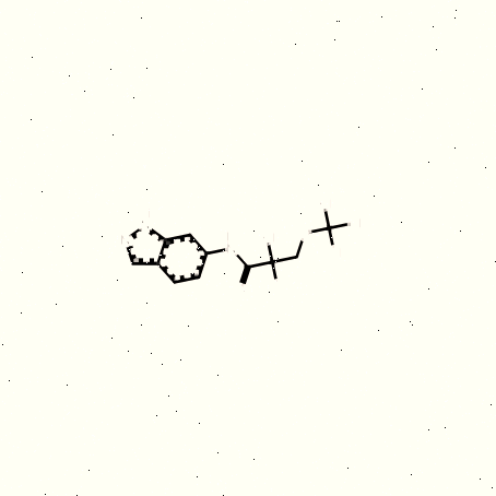 CC(C)(C)OCC(C)(C)C(=O)Nc1ccc2cn[nH]c2c1